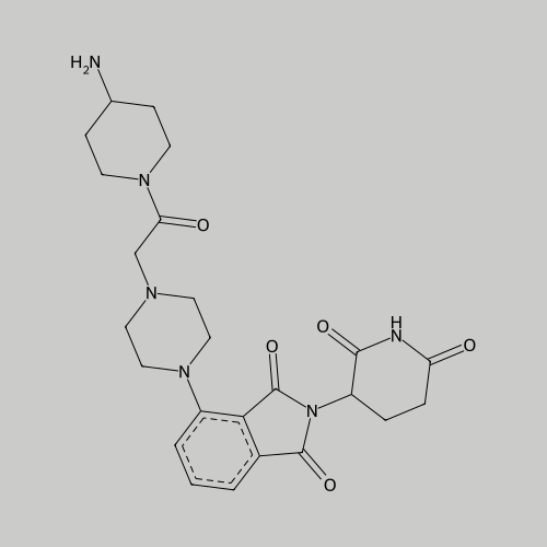 NC1CCN(C(=O)CN2CCN(c3cccc4c3C(=O)N(C3CCC(=O)NC3=O)C4=O)CC2)CC1